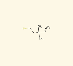 C=CC(C)(C)CC[S]